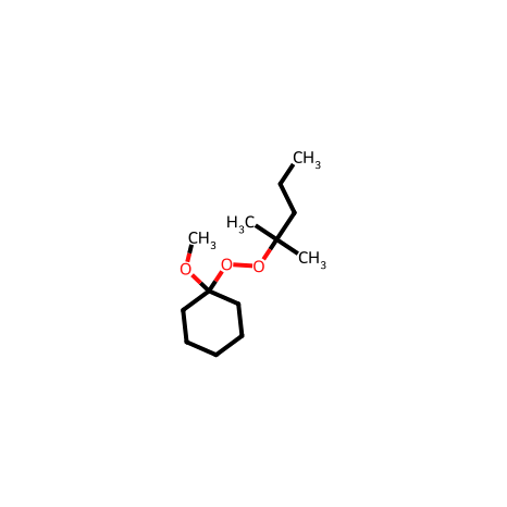 CCCC(C)(C)OOC1(OC)CCCCC1